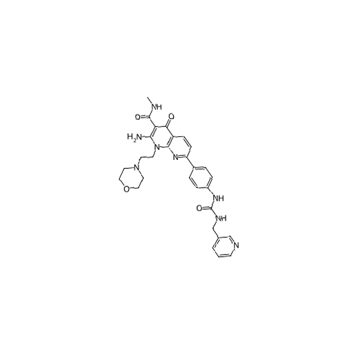 CNC(=O)c1c(N)n(CCN2CCOCC2)c2nc(-c3ccc(NC(=O)NCc4cccnc4)cc3)ccc2c1=O